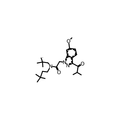 [CH2]C(C)(C)CN(CCC(C)(C)C)C(=O)Cn1nc(C(=O)C(C)C)c2ccc(OC)cc21